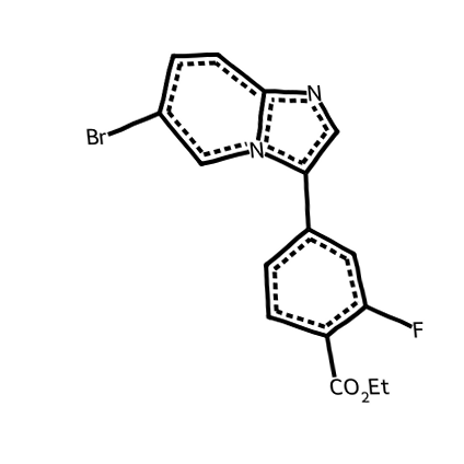 CCOC(=O)c1ccc(-c2cnc3ccc(Br)cn23)cc1F